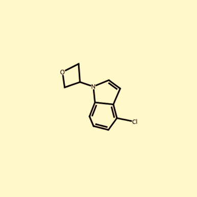 Clc1cccc2c1ccn2C1COC1